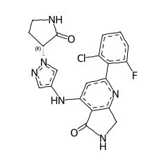 O=C1NCc2nc(-c3c(F)cccc3Cl)cc(Nc3cnn([C@@H]4CCNC4=O)c3)c21